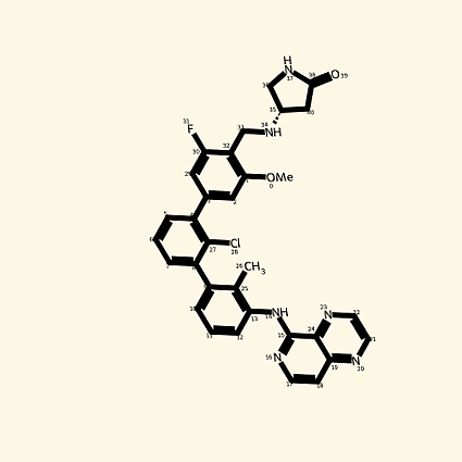 COc1cc(-c2cccc(-c3cccc(Nc4nccc5nccnc45)c3C)c2Cl)cc(F)c1CN[C@@H]1CNC(=O)C1